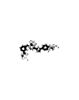 COC(=O)c1cccc(CN2SN=C(c3nc(-c4ccc(OC(C)(C)F)cc4)cs3)N=C2C)c1